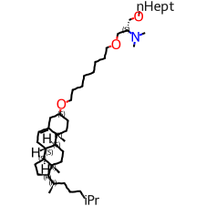 CCCCCCCOC[C@@H](COCCCCCCCCO[C@H]1CC[C@@]2(C)C(=CC[C@H]3[C@@H]4CC[C@H]([C@H](C)CCCC(C)C)[C@@]4(C)CC[C@@H]32)C1)N(C)C